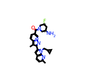 Cc1ccc2cc(-c3nn4cc(C(=O)N5C[C@H](N)C[C@@H](F)C5)ccc4c3C)n(CC3CC3)c2n1